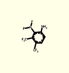 Nc1ccc(C(F)(F)F)c(C(F)(F)F)c1N(F)F